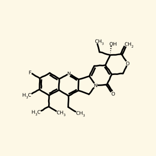 C=C1OCc2c(cc3n(c2=O)Cc2c-3nc3cc(F)c(C)c(C(C)C)c3c2CC)[C@@]1(O)CC